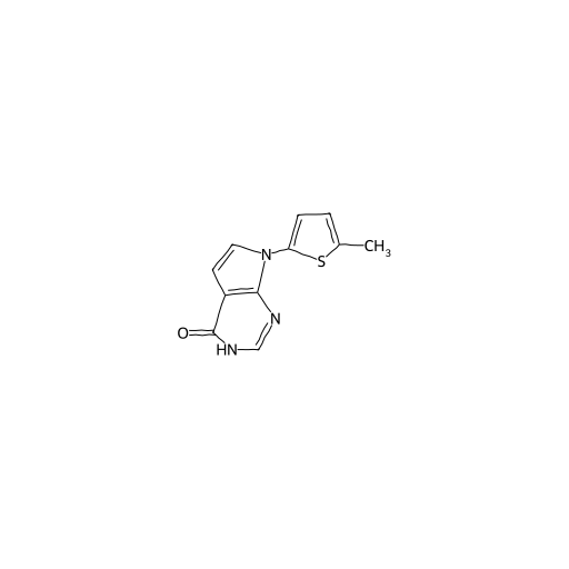 Cc1ccc(-n2ccc3c(=O)[nH]cnc32)s1